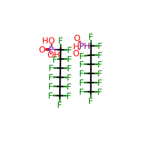 O=P(O)(O)C(F)(F)C(F)(F)C(F)(F)C(F)(F)C(F)(F)C(F)(F)F.O=[PH](O)C(F)(F)C(F)(F)C(F)(F)C(F)(F)C(F)(F)C(F)(F)F